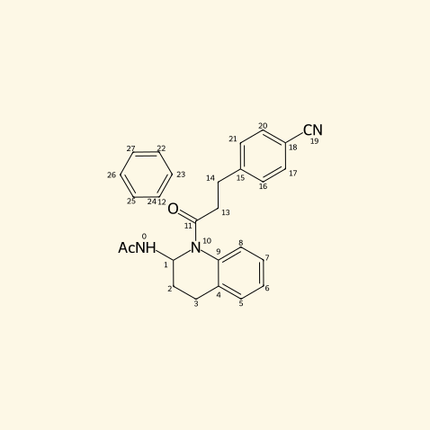 CC(=O)NC1CCc2ccccc2N1C(=O)CCc1ccc(C#N)cc1.c1ccccc1